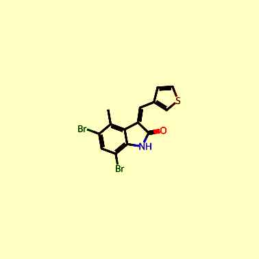 Cc1c(Br)cc(Br)c2c1C(=Cc1ccsc1)C(=O)N2